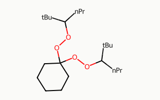 CCCC(OOC1(OOC(CCC)C(C)(C)C)CCCCC1)C(C)(C)C